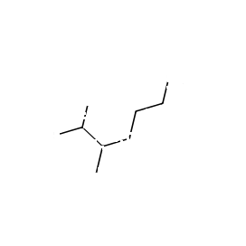 CC(CCCC(=O)O)C(F)F